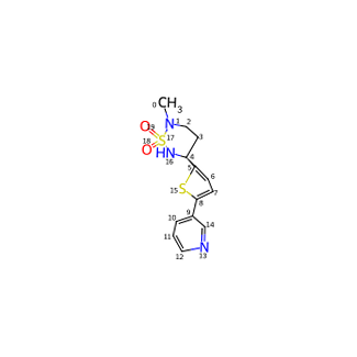 CN1CC[C@@H](c2ccc(-c3cccnc3)s2)NS1(=O)=O